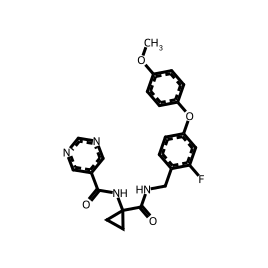 COc1ccc(Oc2ccc(CNC(=O)C3(NC(=O)c4cncnc4)CC3)c(F)c2)cc1